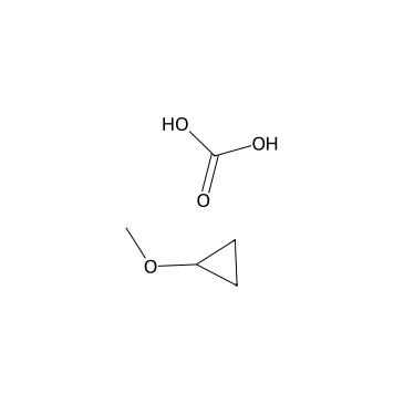 COC1CC1.O=C(O)O